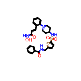 O=C(/C=C/c1ccccc1N1CCC(NS(=O)(=O)c2ccc(CNC(=O)c3ccccc3)s2)CC1)NO